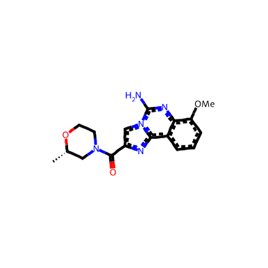 COc1cccc2c1nc(N)n1cc(C(=O)N3CCO[C@@H](C)C3)nc21